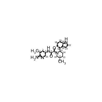 Cc1cc(NC(=O)C(=O)N2C[C@@H](C)CCC2c2cccc3[nH]ccc23)cnc1N